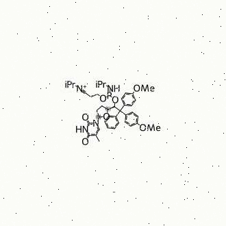 COc1ccc(C(c2ccccc2)(c2ccc(OC)cc2)C(OP(NC(C)C)OCCC#[N+]C(C)C)[C@@H]2CC[C@H](n3cc(C)c(=O)[nH]c3=O)O2)cc1